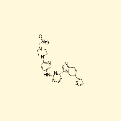 O=[SH](=O)CN1CCN(c2ccc(Nc3nccc(-c4cnc5ccc(-c6cccs6)cn45)n3)cn2)CC1